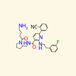 N#Cc1ccccc1-c1ccc(C(=O)NCC2CCCN2C(=O)CCCN)c(NCCc2cccc(F)c2)n1